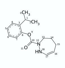 CC(C)c1ccccc1OC(=O)N1CCCC=CN1